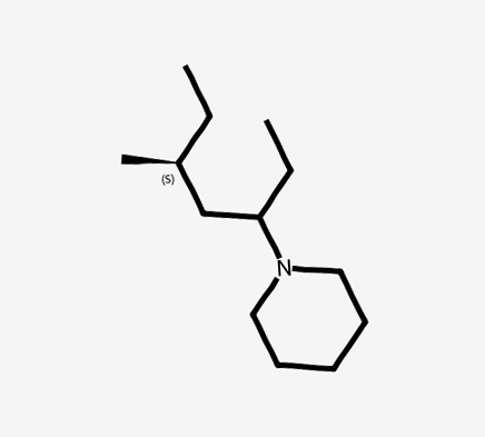 CCC(C[C@@H](C)CC)N1CCCCC1